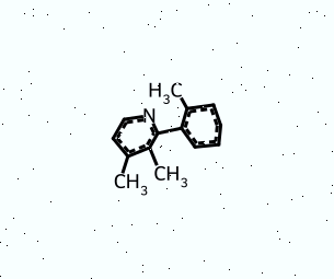 Cc1ccccc1-c1nccc(C)c1C